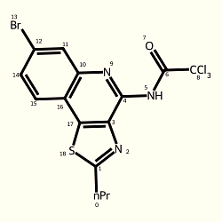 CCCc1nc2c(NC(=O)C(Cl)(Cl)Cl)nc3cc(Br)ccc3c2s1